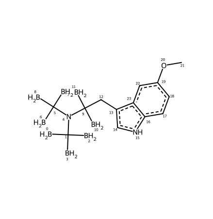 BC(B)(B)N(C(B)(B)B)C(B)(B)Cc1c[nH]c2ccc(OC)cc12